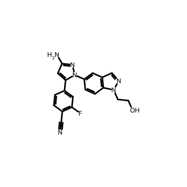 N#Cc1ccc(-c2cc(N)nn2-c2ccc3c(cnn3CCO)c2)cc1F